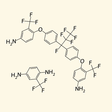 Nc1ccc(N)c(C(F)(F)F)c1.Nc1ccc(Oc2ccc(C(F)(c3ccc(Oc4ccc(N)cc4C(F)(F)F)cc3)C(F)(F)C(F)(F)F)cc2)c(C(F)(F)F)c1